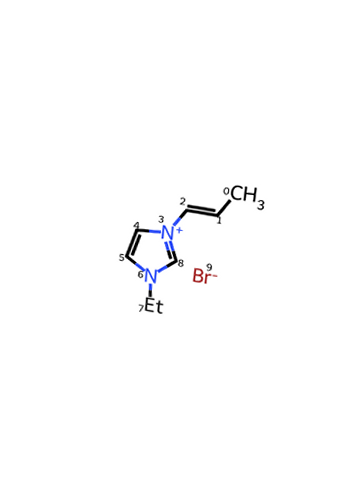 CC=C[n+]1ccn(CC)c1.[Br-]